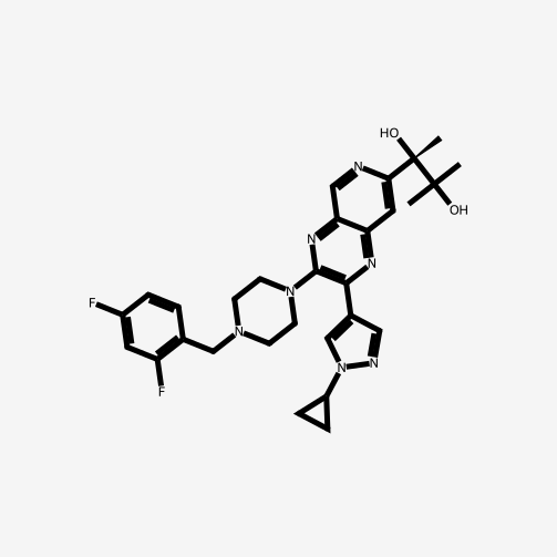 CC(C)(O)[C@@](C)(O)c1cc2nc(-c3cnn(C4CC4)c3)c(N3CCN(Cc4ccc(F)cc4F)CC3)nc2cn1